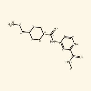 CNC(=O)c1cc(NC(=O)[C@H]2CC[C@H](CCN)CC2)ccn1